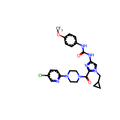 O=C(Nc1ccc(OC(F)(F)F)cc1)Nc1cn(CC2CC2)c(C(=O)N2CCN(c3ccc(Cl)cn3)CC2)n1